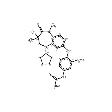 COC(=O)Nc1ccc(Nc2ncc3c(n2)N(C2CCCC2)CC(C)(C)C(=O)N3C)c(OC)c1